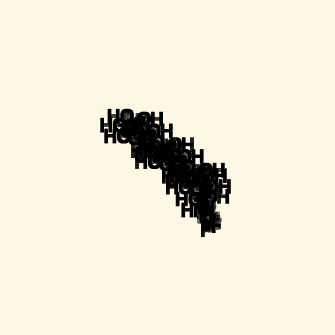 OCC1O[C@H](O[C@@H]2C(CO)O[C@H](O[C@@H]3C(CO)O[C@H](O[C@@H]4C(CO)O[C@H](O[C@@H]5C(CO)O[C@H](O[C@H](C(O)CO)[C@@H](O)C(O)c6nc7cc(F)c(F)cc7[nH]6)C(O)[C@@H]5O)C(O)[C@@H]4O)C(O)[C@@H]3O)C(O)[C@@H]2O)C(O)[C@@H](O)[C@@H]1O